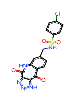 O=c1[nH]c2cc(CNS(=O)(=O)c3ccc(Cl)cc3)ccc2c(=O)c2[nH]nnc12